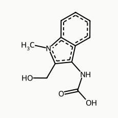 Cn1c(CO)c(NC(=O)O)c2ccccc21